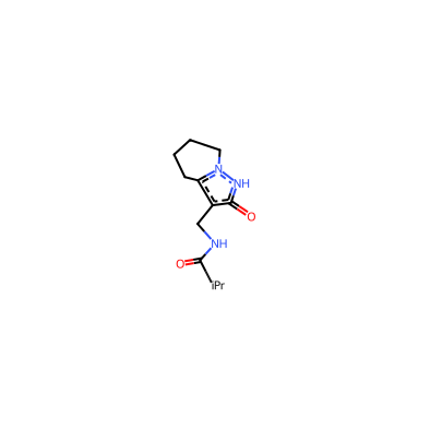 CC(C)C(=O)NCc1c2n([nH]c1=O)CCCC2